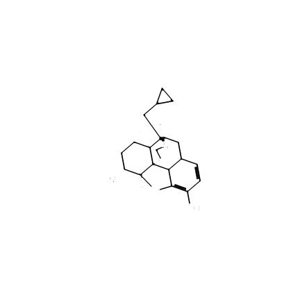 N[C@@H]1CC[C@@]2(O)[C@H]3CC4C=CC(O)=C5O[C@@H]1[C@]2(CCN3CC1CC1)C54